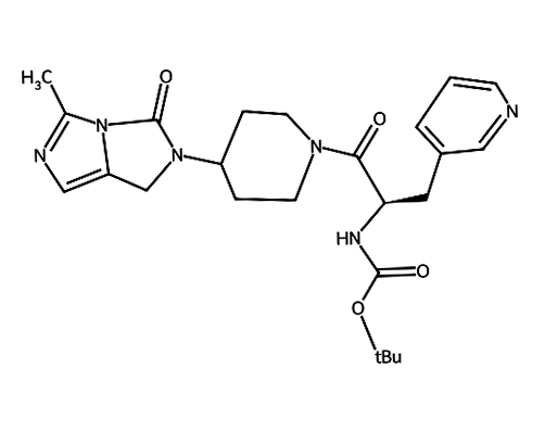 Cc1ncc2n1C(=O)N(C1CCN(C(=O)[C@@H](Cc3cccnc3)NC(=O)OC(C)(C)C)CC1)C2